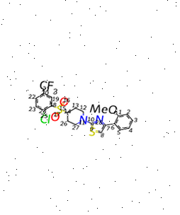 COc1ccccc1-c1csc(N2CCC(S(=O)(=O)c3cc(C(F)(F)F)ccc3Cl)CC2)n1